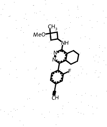 C#Cc1ccc(-c2nnc(NC3CC(C)(OC)C3)c3c2CCCC3)c(F)c1